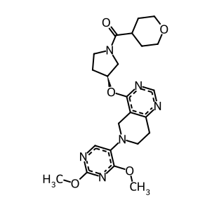 COc1ncc(N2CCc3ncnc(O[C@H]4CCN(C(=O)C5CCOCC5)C4)c3C2)c(OC)n1